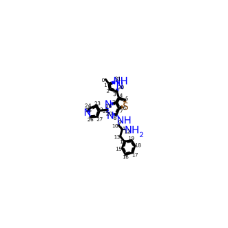 Cc1cc(-c2csc3c(NC[C@@H](N)Cc4ccccc4)nc(-c4ccncc4)nc23)n[nH]1